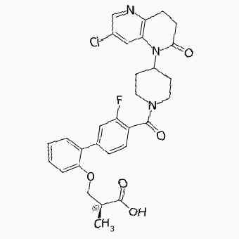 C[C@@H](COc1ccccc1-c1ccc(C(=O)N2CCC(N3C(=O)CCc4ncc(Cl)cc43)CC2)c(F)c1)C(=O)O